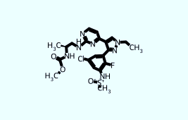 CCn1cc(-c2ccnc(NC[C@H](C)NC(=O)OC)n2)c(-c2cc(Cl)cc(N[S+](C)[O-])c2F)n1